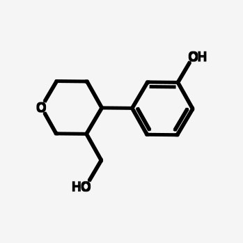 OCC1COCCC1c1cccc(O)c1